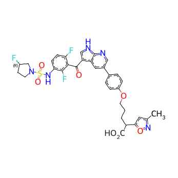 Cc1cc(C(CCCOc2ccc(-c3cnc4[nH]cc(C(=O)c5c(F)ccc(NS(=O)(=O)N6CC[C@@H](F)C6)c5F)c4c3)cc2)C(=O)O)on1